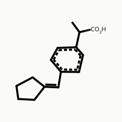 CC(C(=O)O)c1ccc(C=C2CCCC2)cc1